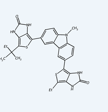 CCc1sc(-c2ccc3c(c2)c2cc(-c4sc(C(C)(C)CC)c5[nH]c(=O)[nH]c45)ccc2n3C)c2[nH]c(=O)[nH]c12